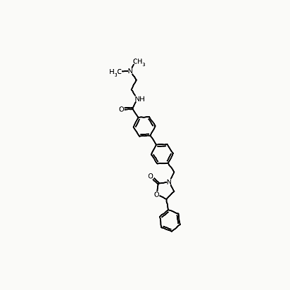 CN(C)CCNC(=O)c1ccc(-c2ccc(CN3CC(c4ccccc4)OC3=O)cc2)cc1